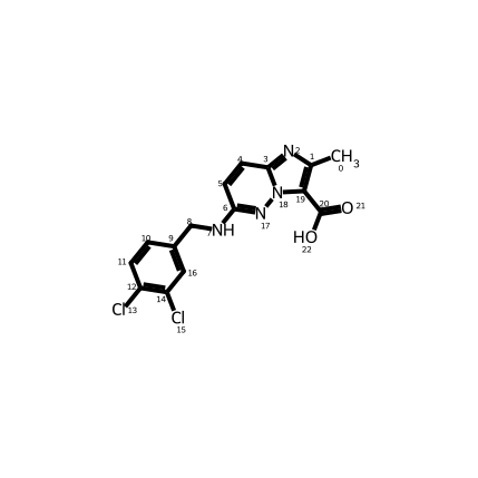 Cc1nc2ccc(NCc3ccc(Cl)c(Cl)c3)nn2c1C(=O)O